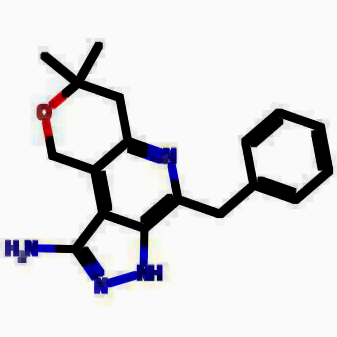 CC1(C)Cc2nc(Cc3ccccc3)c3[nH]nc(N)c3c2CO1